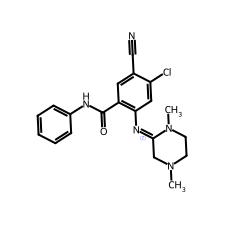 CN1CCN(C)/C(=N\c2cc(Cl)c(C#N)cc2C(=O)Nc2ccccc2)C1